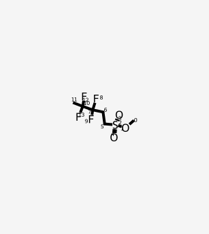 COS(=O)(=O)CCC(F)(F)C(C)(F)F